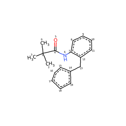 CC(C)(C)C(=O)Nc1ccccc1Cc1ccccc1